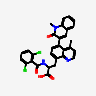 Cc1ccnc2c(C[C@H](NC(=O)c3c(Cl)cccc3Cl)C(=O)O)ccc(-c3cc4ccccc4n(C)c3=O)c12